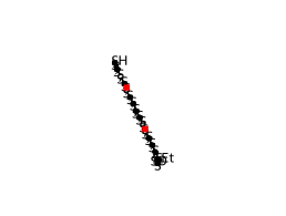 CCOS(=S)(=S)SSSSSSSSSSSSSSSSSSSSSSSSSSSSS